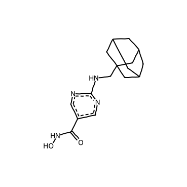 O=C(NO)c1cnc(NCC23CC4CC(CC(C4)C2)C3)nc1